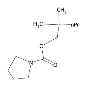 CCCC(C)(C)COC(=O)N1CCCC1